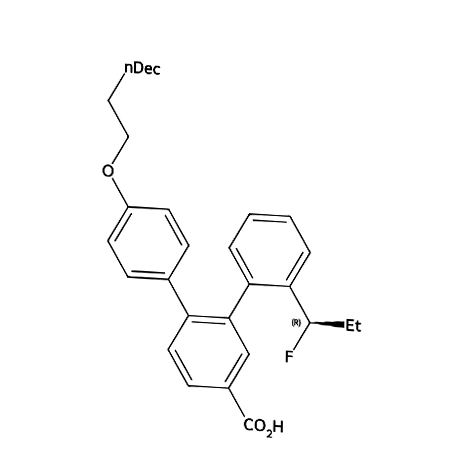 CCCCCCCCCCCCOc1ccc(-c2ccc(C(=O)O)cc2-c2ccccc2[C@H](F)CC)cc1